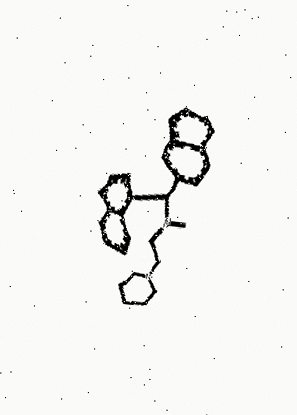 CN(CCN1CCCCC1)C(c1ccc2ccccc2c1)c1cccc2ccccc12